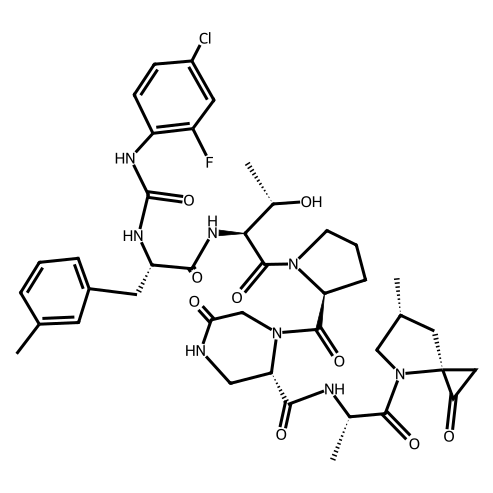 Cc1cccc(C[C@H](NC(=O)Nc2ccc(Cl)cc2F)C(=O)N[C@H](C(=O)N2CCC[C@H]2C(=O)N2CC(=O)NC[C@H]2C(=O)N[C@@H](C)C(=O)N2C[C@H](C)C[C@@]23CC3=O)[C@H](C)O)c1